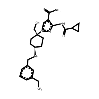 N#CC[C@]1(n2cc(C(N)=O)c(NC(=O)C3CC3)n2)CC[C@H](NCc2cccc(CC(F)(F)F)c2)CC1